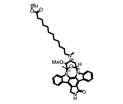 CO[C@@H]1[C@H](N(C)CCCCCCCCCCCC(=O)OC(C)(C)C)C[C@H]2O[C@]1(C)n1c3ccccc3c3c4c(c5c6ccccc6n2c5c31)C(=O)NC4